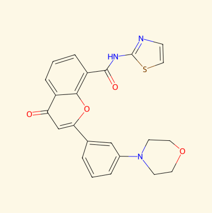 O=C(Nc1nccs1)c1cccc2c(=O)cc(-c3cccc(N4CCOCC4)c3)oc12